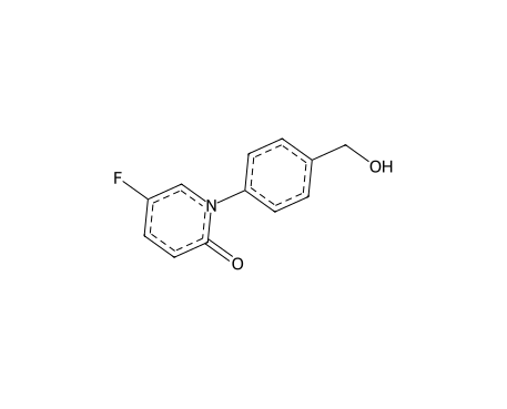 O=c1ccc(F)cn1-c1ccc(CO)cc1